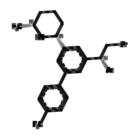 CC(=O)[C@@H](CC(C)C)c1cc(-c2ccc(C(F)(F)F)cc2)cc([C@H]2CCC[C@@H](C(F)(F)F)N2)c1